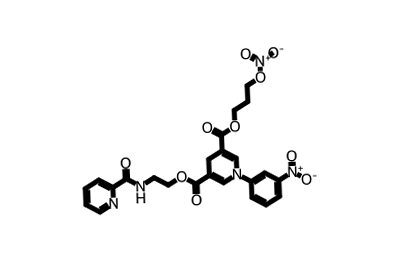 O=C(OCCCO[N+](=O)[O-])C1=CN(c2cccc([N+](=O)[O-])c2)C=C(C(=O)OCCNC(=O)c2ccccn2)C1